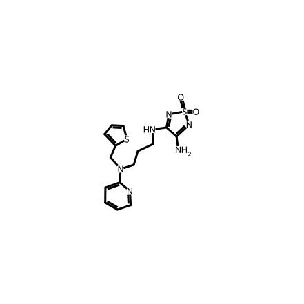 NC1=NS(=O)(=O)N=C1NCCCN(Cc1cccs1)c1ccccn1